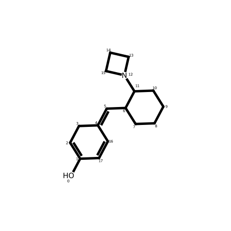 OC1=CCC(=CC2CCCCC2N2CCC2)C=C1